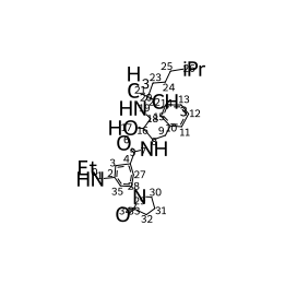 CCNc1cc(C(=O)NC(Cc2ccccc2)C(O)CNC(C)(C)CCCC(C)C)cc(N2CCCC2=O)c1